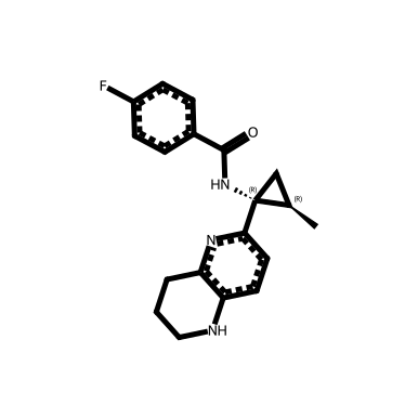 C[C@@H]1C[C@]1(NC(=O)c1ccc(F)cc1)c1ccc2c(n1)CCCN2